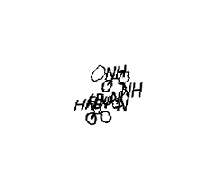 CC(C)(C)Nc1c(Nc2ccnc(Nc3cccc(C(=O)NC4CCCCCC4)c3)n2)c(=O)c1=O